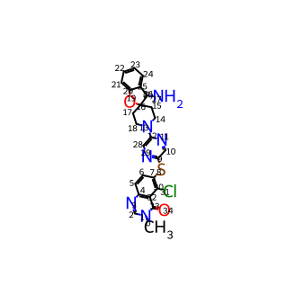 Cn1cnc2ccc(Sc3cnc(N4CCC5(CC4)Oc4ccccc4[C@H]5N)cn3)c(Cl)c2c1=O